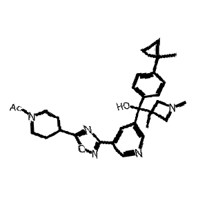 CC(=O)N1CCC(c2nc(-c3cncc(C(O)(c4ccc(C5(C)CC5)cc4)C4(C)CN(C)C4)c3)no2)CC1